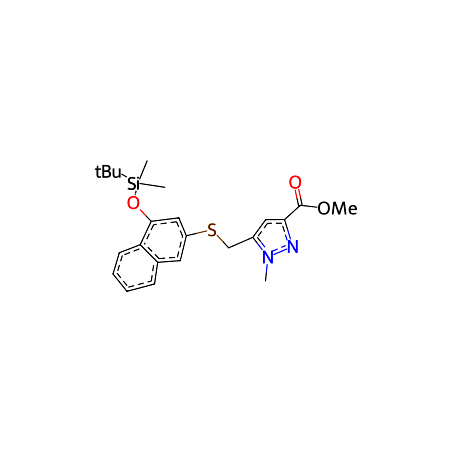 COC(=O)c1cc(CSc2cc(O[Si](C)(C)C(C)(C)C)c3ccccc3c2)n(C)n1